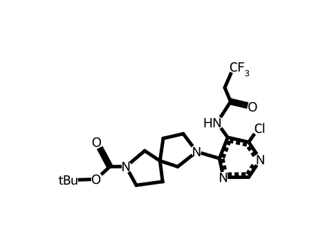 CC(C)(C)OC(=O)N1CCC2(CCN(c3ncnc(Cl)c3NC(=O)CC(F)(F)F)C2)C1